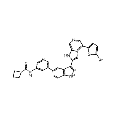 CC(=O)c1ccc(-c2cncc3[nH]c(-c4n[nH]c5ccc(-c6cncc(NC(=O)C7CCC7)c6)cc45)nc23)s1